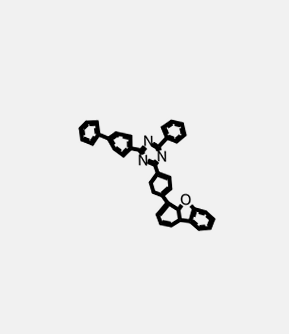 C1=CC2c3ccccc3OC2C(C2=CC=C(c3nc(-c4ccccc4)nc(-c4ccc(-c5ccccc5)cc4)n3)CC2)=C1